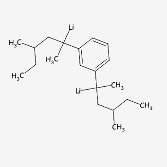 [Li][C](C)(CC(C)CC)c1cccc([C]([Li])(C)CC(C)CC)c1